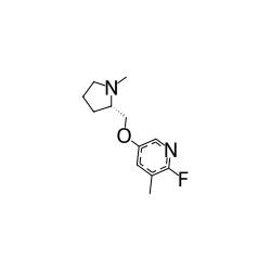 Cc1cc(OC[C@@H]2CCCN2C)cnc1F